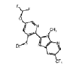 CCSc1cc(OC(F)F)cnc1-c1nc2cc(C(F)(F)F)cnc2n1C